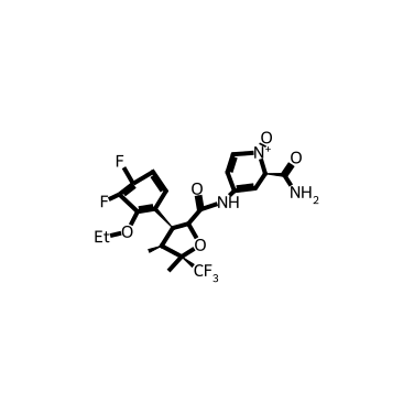 CCOc1c([C@H]2C(C(=O)NC3=C[C@H](C(N)=O)[N+](=O)C=C3)O[C@@](C)(C(F)(F)F)[C@H]2C)ccc(F)c1F